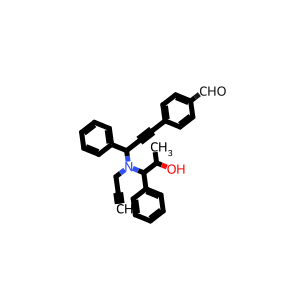 C#CCN(C(C#Cc1ccc(C=O)cc1)c1ccccc1)C(c1ccccc1)C(C)O